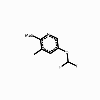 CSc1ncc(OC(F)F)cc1C